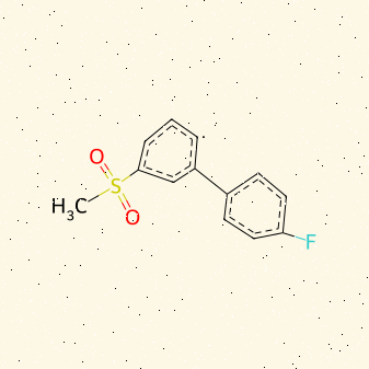 CS(=O)(=O)c1cc[c]c(-c2ccc(F)cc2)c1